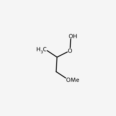 COCC(C)OO